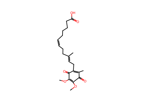 COC1=C(OC)C(=O)C(C/C=C(\C)CC/C=C\CCCCC(=O)O)=C(C)C1=O